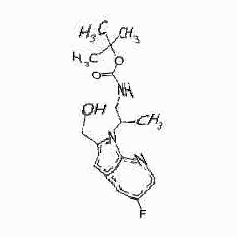 C[C@H](CNC(=O)OC(C)(C)C)n1c(CO)cc2cc(F)cnc21